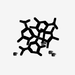 CC1=C(C)[C]([Ti+3])([Si](c2cc(N(C)C)cc(C)c2C)(c2cc(N(C)C)cc(C)c2C)c2cc(N(C)C)cc(C)c2C)C(C)=C1C.[Cl-].[Cl-].[Cl-]